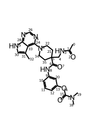 CC(=O)NCC1(C(=O)Nc2cccc(OC(=O)N(C)C)c2)CCN(c2ncnc3[nH]cc(C)c23)CC1